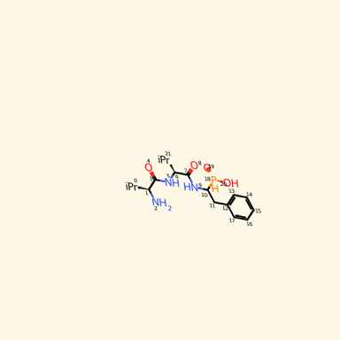 CC(C)[C@H](N)C(=O)N[C@H](C(=O)NC(Cc1ccccc1)[PH](=O)O)C(C)C